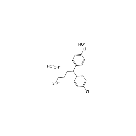 Clc1ccc(C(CC[CH2][Sn+3])c2ccc(Cl)cc2)cc1.[OH-].[OH-].[OH-]